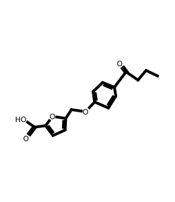 CCCC(=O)c1ccc(OCc2ccc(C(=O)O)o2)cc1